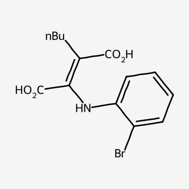 CCCCC(C(=O)O)=C(Nc1ccccc1Br)C(=O)O